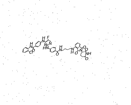 O=C1CCC(N2C(=O)c3cccc(NCCCCNC(=O)c4ccc(Nc5ncc(F)c(Nc6ccc(C(=O)Nc7ccccc7Cl)cc6)n5)cc4)c3C2=O)C(=O)N1